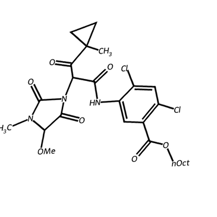 CCCCCCCCOC(=O)c1cc(NC(=O)C(C(=O)C2(C)CC2)N2C(=O)C(OC)N(C)C2=O)c(Cl)cc1Cl